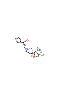 O=C(C=CCN1CCC(O)(c2ccc(Cl)c(C(F)(F)F)c2)CC1)c1ccc(F)cc1